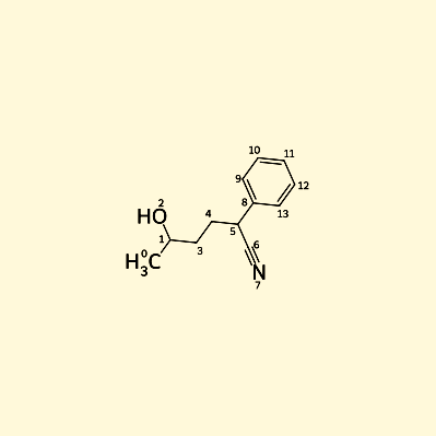 CC(O)CCC(C#N)c1ccccc1